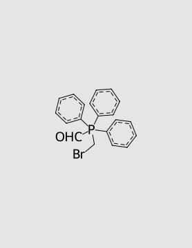 O=CP(CBr)(c1ccccc1)(c1ccccc1)c1ccccc1